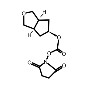 O=C(O[C@H]1C[C@H]2COC[C@H]2C1)ON1C(=O)CCC1=O